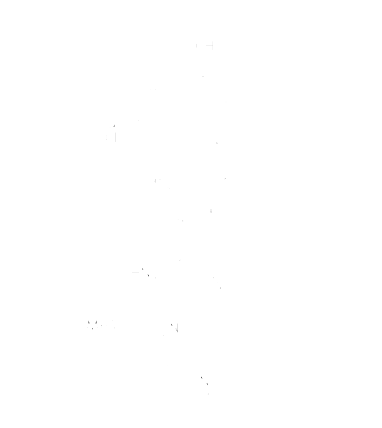 CSC(NC=N)NC[C@]1(c2ccccc2Cl)O[C@@H]1c1ccc(C)cc1Cl